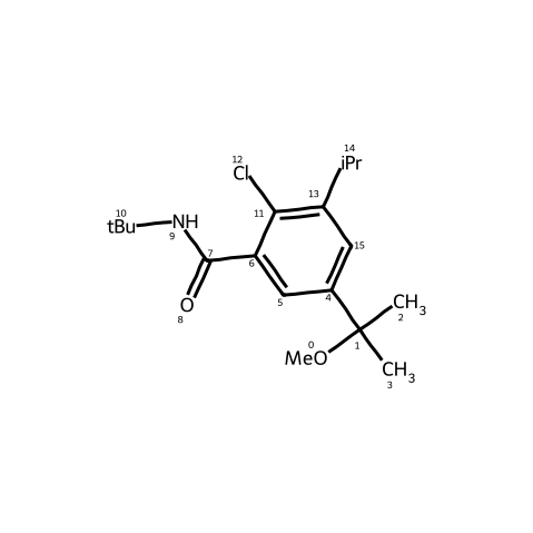 COC(C)(C)c1cc(C(=O)NC(C)(C)C)c(Cl)c(C(C)C)c1